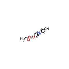 C=CC(=O)OCCOc1ccc(/N=N/c2ccc(C#N)cc2)cc1